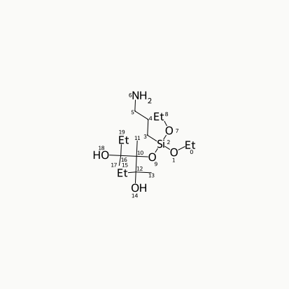 CCO[Si](CCCN)(OCC)OC(C)(C(C)(O)CC)C(C)(O)CC